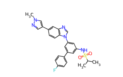 CC(C)S(=O)(=O)Nc1cc(-c2ccc(F)cc2)cc(-n2cnc3cc(-c4cnn(C)c4)ccc32)c1